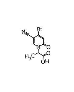 CC(C(=O)O)n1cc(C#N)c(Br)cc1=O